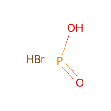 Br.O=PO